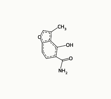 Cc1coc2ccc(C(N)=O)c(O)c12